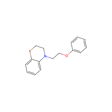 [c]1ccc(OCCN2CCSc3ccccc32)cc1